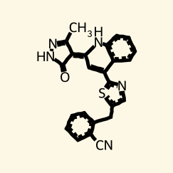 CC1=NNC(=O)C1=C1C=C(c2ncc(Cc3ccccc3C#N)s2)c2ccccc2N1